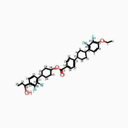 CCOc1ccc(C2CCC(c3ccc(C(=O)OC4CCC(c5ccc(C(O)CC)c(F)c5F)CC4)cc3)CC2)c(F)c1F